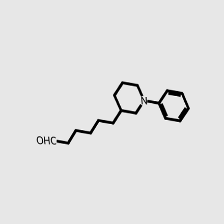 O=CCCCCCC1CCCN(c2ccccc2)C1